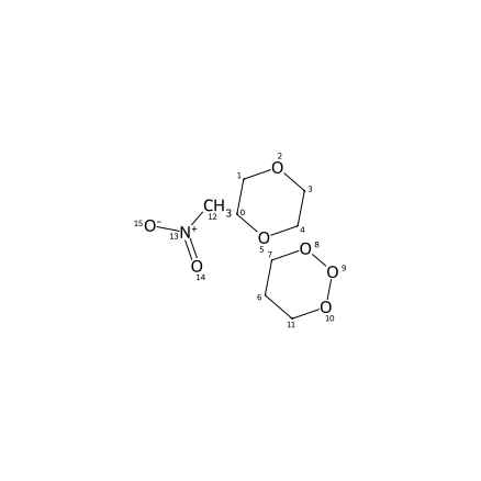 C1COCCO1.C1COOOC1.C[N+](=O)[O-]